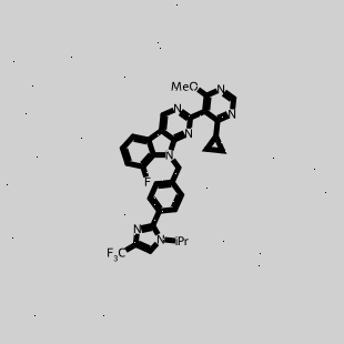 COc1ncnc(C2CC2)c1-c1ncc2c3cccc(F)c3n(Cc3ccc(-c4nc(C(F)(F)F)cn4C(C)C)cc3)c2n1